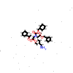 CCOC(=O)[C@H](CC(=O)c1ccccc1)N(C(=O)OCc1ccccc1)[C@@H](CCCCN)C(=O)OCc1ccccc1